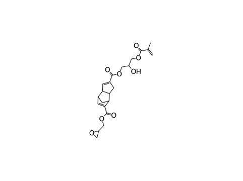 C=C(C)C(=O)OCC(O)COC(=O)C1=CC2C3C=C(C(=O)OCC4CO4)C(C3)C2C1